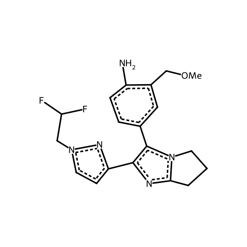 COCc1cc(-c2c(-c3ccn(CC(F)F)n3)nc3n2CCC3)ccc1N